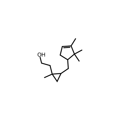 CC1=CCC(CC2CC2(C)CCO)C1(C)C